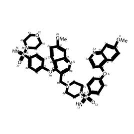 COc1ccc2c(Oc3ccc(S(=N)(=O)N4CCN(Cc5cnc6cc(OC)ccc6c5Oc5ccc(S(=N)(=O)N6CCOCC6)cc5)CC4)cc3)ccnc2c1